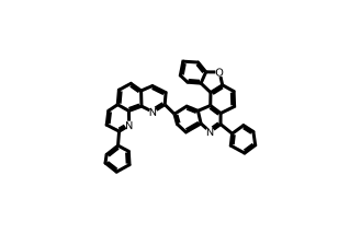 c1ccc(-c2ccc3ccc4ccc(-c5ccc6nc(-c7ccccc7)c7ccc8oc9ccccc9c8c7c6c5)nc4c3n2)cc1